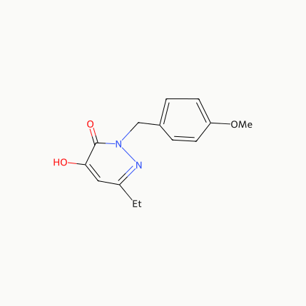 CCc1cc(O)c(=O)n(Cc2ccc(OC)cc2)n1